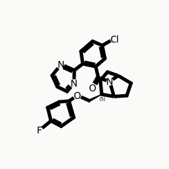 O=C(c1cc(Cl)ccc1-c1ncccn1)N1C2CCC1[C@@H](COc1ccc(F)cc1)CC2